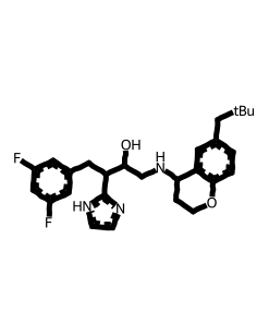 CC(C)(C)Cc1ccc2c(c1)C(NCC(O)C(Cc1cc(F)cc(F)c1)c1ncc[nH]1)CCO2